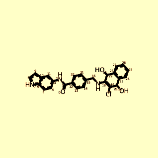 O=C(Nc1ccc2[nH]ccc2c1)c1ccc(CNC2=C(Cl)C(O)c3ccccc3C2O)cc1